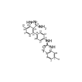 Cc1ccc(F)c(NC(=O)Nc2ccc(-c3ccc(C)c4[nH]nc(N)c34)cc2)c1